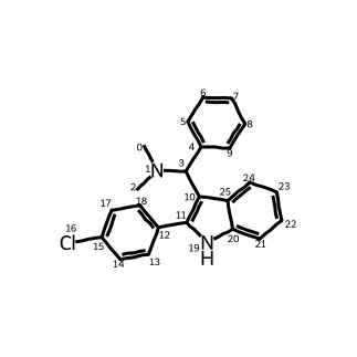 CN(C)C(c1ccccc1)c1c(-c2ccc(Cl)cc2)[nH]c2ccccc12